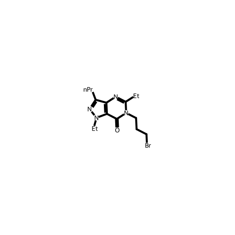 CCCc1nn(CC)c2c(=O)n(CCCBr)c(CC)nc12